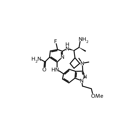 COCCn1nc(N(C)C)c2cc(Nc3nc(N[C@H](C4CCC4)[C@H](C)N)c(F)cc3C(N)=O)ccc21